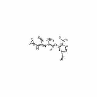 C#Cc1cc(O/C(C)=C(N)/N=C(\N=C)NC2CC2)c(C(C)C)cn1